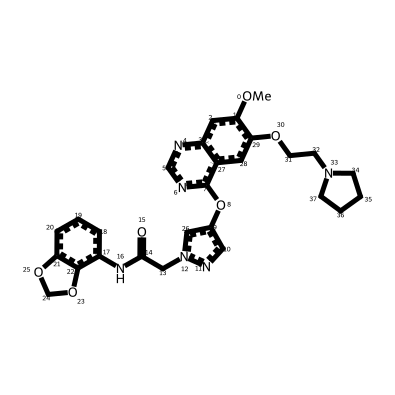 COc1cc2ncnc(Oc3cnn(CC(=O)Nc4cccc5c4OCO5)c3)c2cc1OCCN1CCCC1